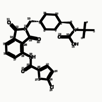 CC(C)(C)N(C[C@H]1CC[C@H](CN2C(=O)c3cccc(NC(=O)c4ccc(Cl)s4)c3C2=O)CC1)C(=O)O